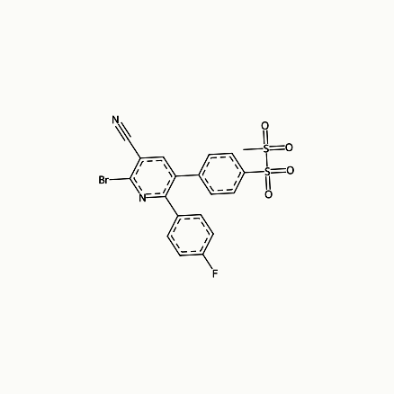 CS(=O)(=O)S(=O)(=O)c1ccc(-c2cc(C#N)c(Br)nc2-c2ccc(F)cc2)cc1